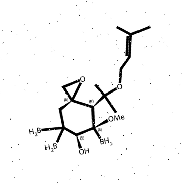 BC1(B)C[C@]2(CO2)[C@@H](C(C)(C)OCC=C(C)C)[C@@](B)(OC)[C@H]1O